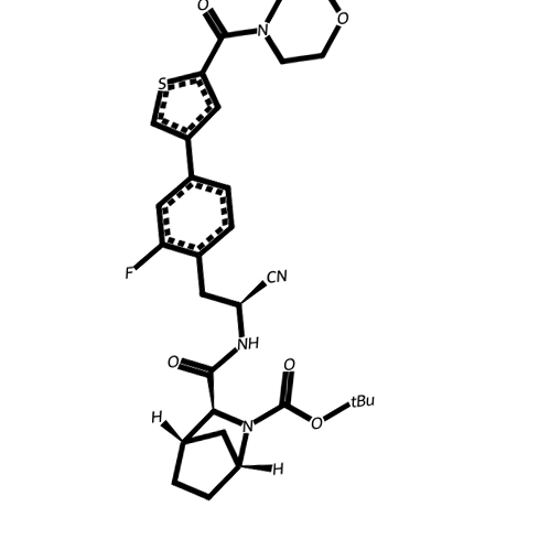 CC(C)(C)OC(=O)N1[C@@H]2CC[C@@H](C2)[C@H]1C(=O)N[C@H](C#N)Cc1ccc(-c2csc(C(=O)N3CCOCC3)c2)cc1F